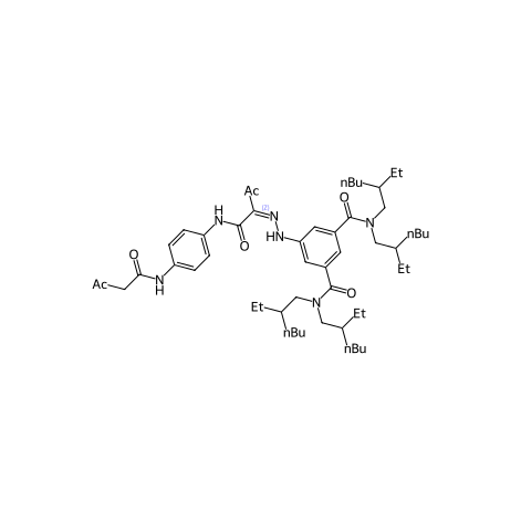 CCCCC(CC)CN(CC(CC)CCCC)C(=O)c1cc(N/N=C(/C(C)=O)C(=O)Nc2ccc(NC(=O)CC(C)=O)cc2)cc(C(=O)N(CC(CC)CCCC)CC(CC)CCCC)c1